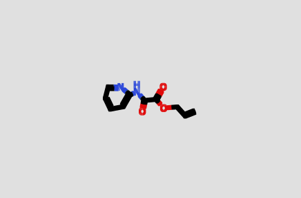 C=CCOC(=O)C(=O)Nc1ccccn1